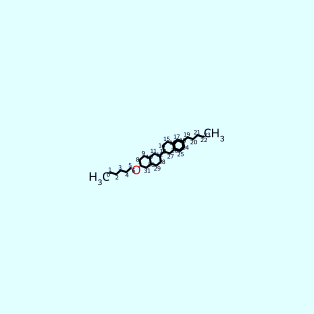 CCCCCCOC1CCC2CC(C3CCc4cc(CCCCC)ccc4C3)CCC2C1